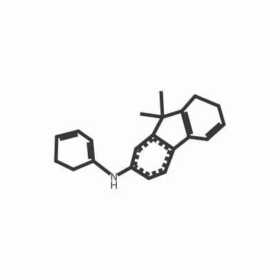 CC1(C)C2=C(C=CCC2)c2ccc(NC3=CC=CCC3)cc21